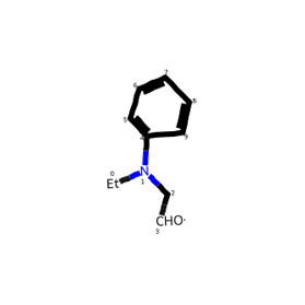 CCN(C[C]=O)c1ccccc1